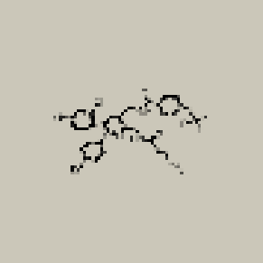 CCCC(=O)NCc1nc(-c2ccc(Br)cc2)c(-c2ccc(Cl)cc2Cl)cc1CNC(=O)c1ccc(SC(F)(F)F)cc1